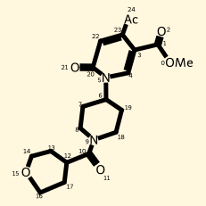 COC(=O)c1cn(C2CCN(C(=O)C3CCOCC3)CC2)c(=O)cc1C(C)=O